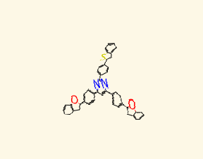 C1=CC2=C(CC1)CC(c1ccc(-c3cc(C4=CC=C(C5Cc6ccccc6O5)CC4)nc(-c4ccc(-c5cc6ccccc6s5)cc4)n3)cc1)O2